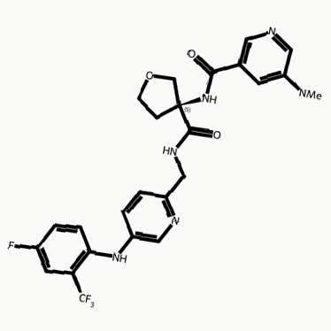 CNc1cncc(C(=O)N[C@@]2(C(=O)NCc3ccc(Nc4ccc(F)cc4C(F)(F)F)cn3)CCOC2)c1